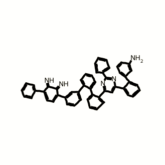 N=C1C(=N)C(c2cccc(-c3ccccc3-c3ccccc3-c3cc(-c4ccccc4-c4cccc(N)c4)nc(-c4ccccc4)n3)c2)=CC=C1c1ccccc1